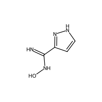 N=C(NO)c1cc[nH]n1